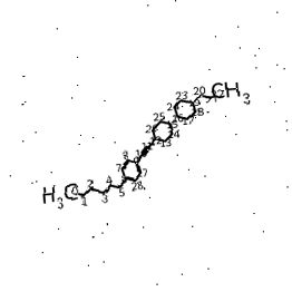 CCCCCCc1ccc(C#CC2CCC([C@H]3CC[C@H](CCC)CC3)CC2)cc1